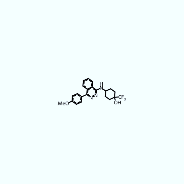 COc1ccc(-c2nnc(NC3CCC(O)(C(F)(F)F)CC3)c3ccccc23)cc1